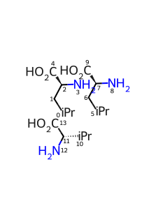 CC(C)C[C@H](N)C(=O)O.CC(C)C[C@H](N)C(=O)O.CC(C)[C@H](N)C(=O)O